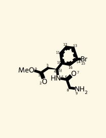 COC(=O)C[C@H](NC(=O)CN)c1cccc(Br)c1